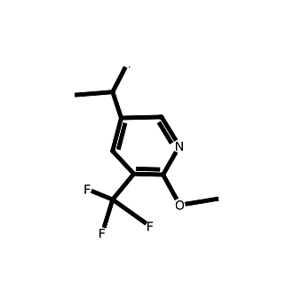 [CH2]C(C)c1cnc(OC)c(C(F)(F)F)c1